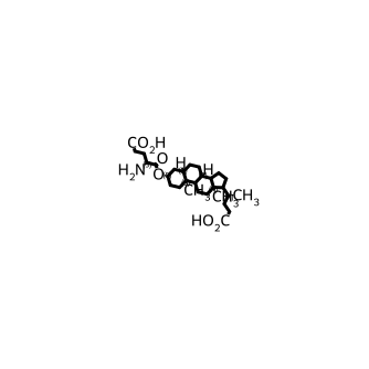 C[C@H](CCC(=O)O)C1CCC2[C@@H]3CC[C@@H]4C[C@@H](OC(=O)[C@@H](N)CCC(=O)O)CC[C@]4(C)C3CC[C@@]21C